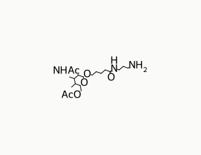 CC(=O)NC1C(OCCCCC(=O)NCCCN)OC(COC(C)=O)C(C)C1C